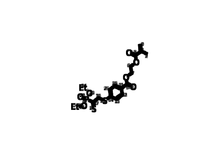 C=C(C)C(=O)OCCOC(=O)c1ccc(SCC(=S)P(=O)(OCC)OCC)cc1